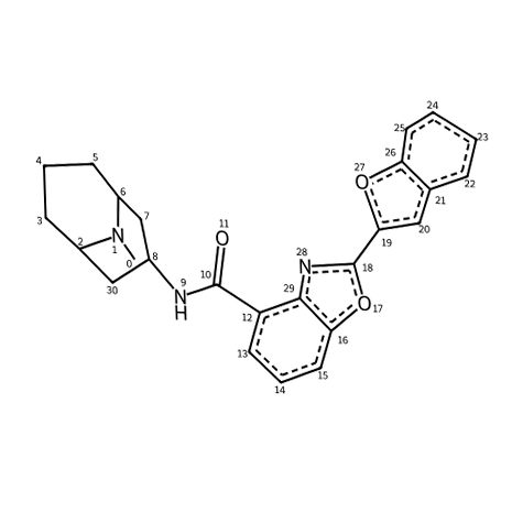 CN1C2CCCC1CC(NC(=O)c1cccc3oc(-c4cc5ccccc5o4)nc13)C2